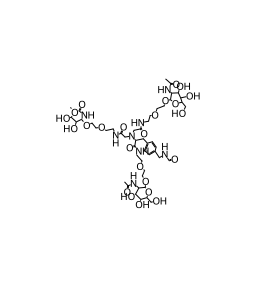 COC(O)C(O)C(NC=O)OCCOCCNC(=O)CN(CC(=O)NCCOCCOC1OC(CO)C(O)C(O)C1NC(C)=O)C(Cc1ccc(CNC=O)cc1)C(=O)NCCOCCOC1OC(CO)C(O)C(O)C1NC(C)=O